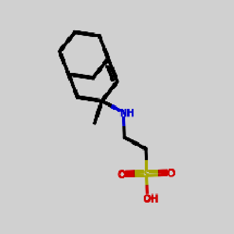 CC1(NCCS(=O)(=O)O)C=C2CCCC(C2)C1